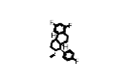 C=C[C@@H]1CC[C@H]2c3cc(F)cc(F)c3CC[C@@H]2[C@H]1c1ccc(F)cc1